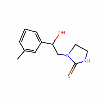 Cc1cccc(C(O)CN2CCNC2=S)c1